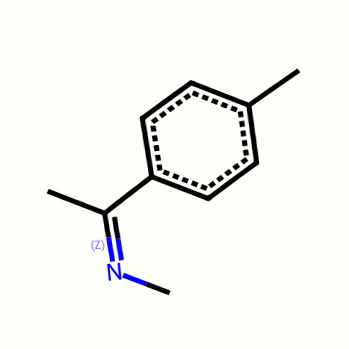 C/N=C(/C)c1ccc(C)cc1